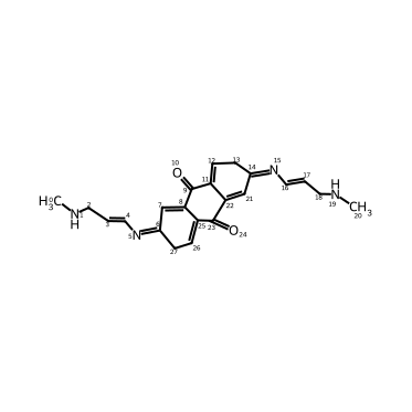 CNCC=CN=C1C=C2C(=O)C3=CCC(=NC=CCNC)C=C3C(=O)C2=CC1